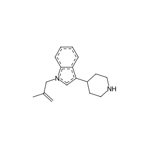 C=C(C)Cn1cc(C2CCNCC2)c2ccccc21